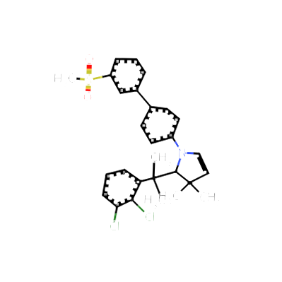 CC1(C)C=CN(c2ccc(-c3cccc(S(C)(=O)=O)c3)cc2)C1C(C)(C)c1cccc(Cl)c1Cl